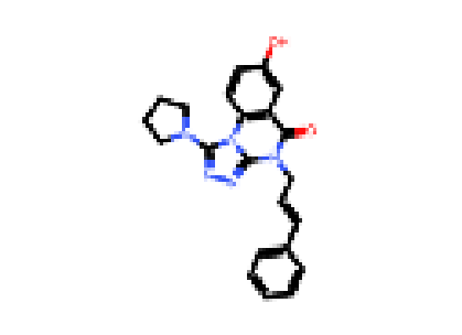 O=c1c2cc(O)ccc2n2c(N3CCCC3)nnc2n1CC=Cc1ccccc1